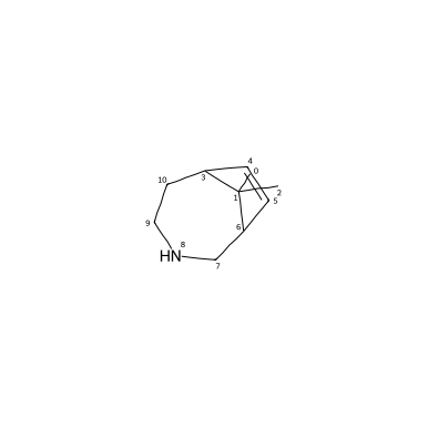 CC1(C)C2C=CC1CNCC2